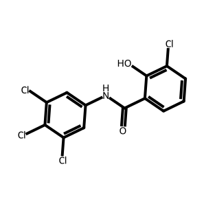 O=C(Nc1cc(Cl)c(Cl)c(Cl)c1)c1cccc(Cl)c1O